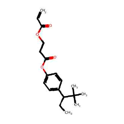 C=CC(=O)OCCC(=O)Oc1ccc(C(CC)C(C)(C)C)cc1